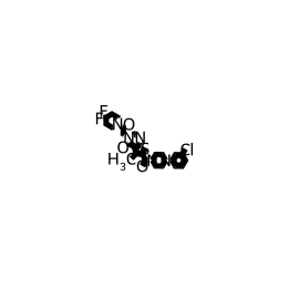 Cc1c(C(=O)N2CCN(c3cccc(Cl)c3)CC2)sc2ncn(CC(=O)N3CCC(F)(F)CC3)c(=O)c12